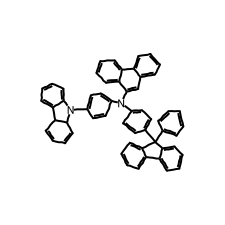 C1=CC2c3ccccc3N(c3ccc(N(c4ccc(C5(c6ccccc6)c6ccccc6-c6ccccc65)cc4)c4cc5ccccc5c5ccccc45)cc3)C2C=C1